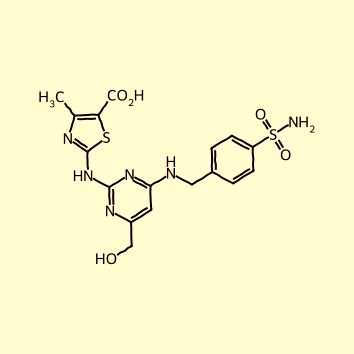 Cc1nc(Nc2nc(CO)cc(NCc3ccc(S(N)(=O)=O)cc3)n2)sc1C(=O)O